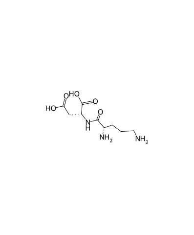 NCCC[C@H](N)C(=O)N[C@H](CC(=O)O)C(=O)O